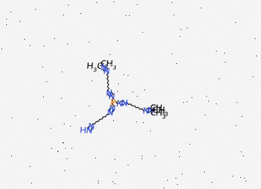 CC(C)N1CCN(CCCCCCCCCCN2CCN(CCP(CCN3CCN(CCCCCCCCCCN4CCNCC4)CC3)CCN3CCN(CCCCCCCCCCN4CCN(C(C)(C)C)CC4)CC3)CC2)CC1